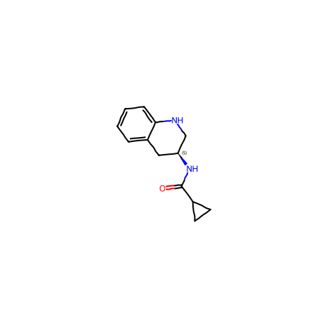 O=C(N[C@@H]1CNc2ccccc2C1)C1CC1